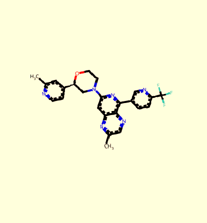 Cc1cc([C@@H]2CN(c3cc4nc(C)cnc4c(-c4ccc(C(F)(F)F)nc4)n3)CCO2)ccn1